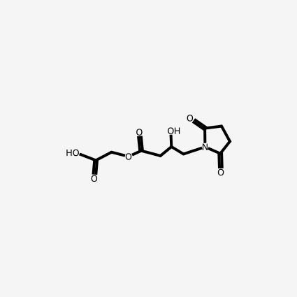 O=C(O)COC(=O)CC(O)CN1C(=O)CCC1=O